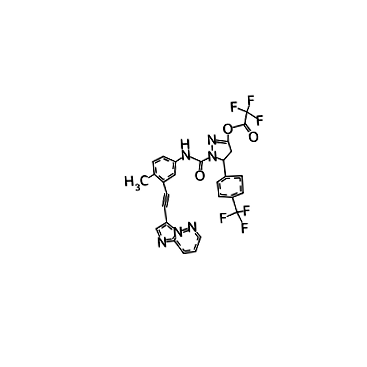 Cc1ccc(NC(=O)N2N=C(OC(=O)C(F)(F)F)CC2c2ccc(C(F)(F)F)cc2)cc1C#Cc1cnc2cccnn12